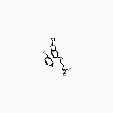 CCN(CC)CCCOc1ccc2nc(S)sc2c1.Clc1ccccc1